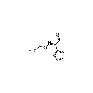 CCO/N=C(/[C]=O)c1cccs1